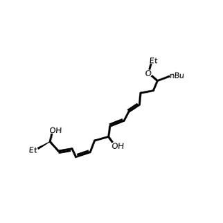 CCCCC(CC/C=C/C=C/C(O)C/C=C\C=C\[C@H](O)CC)OCC